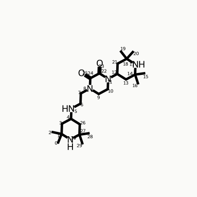 CC1(C)CC(NCCN2CCN(C3CC(C)(C)NC(C)(C)C3)C(=O)C2=O)CC(C)(C)N1